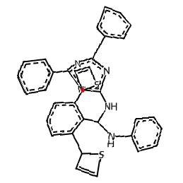 C1=CC(c2cccc(C3C=CS3)c2C(Nc2ccccc2)Nc2nc(-c3ccccc3)nc(-c3ccccc3)n2)S1